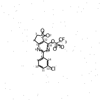 O=S1(=O)CCc2nc(-c3cccc(Cl)c3)nc(OS(=O)(=O)C(F)(F)F)c21